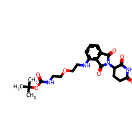 CC(C)(C)OC(=O)NCCOCCNc1cccc2c1C(=O)N(C1CCC(=O)NC1=O)C2=O